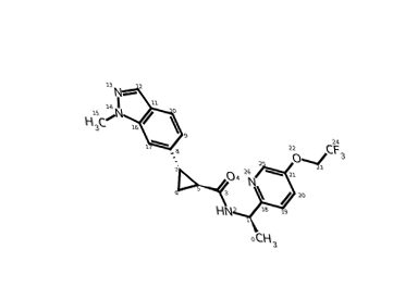 C[C@@H](NC(=O)[C@H]1C[C@@H]1c1ccc2cnn(C)c2c1)c1ccc(OCC(F)(F)F)cn1